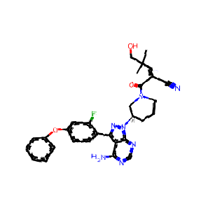 CC(C)(/C=C(/C#N)C(=O)N1CCC[C@@H](n2nc(-c3ccc(Oc4ccccc4)cc3F)c3c(N)ncnc32)C1)CO